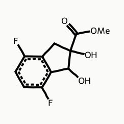 COC(=O)C1(O)Cc2c(F)ccc(F)c2C1O